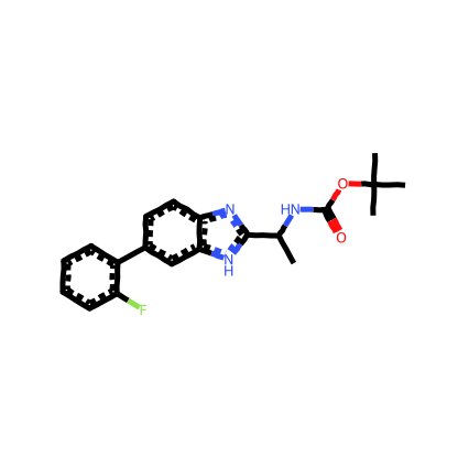 CC(NC(=O)OC(C)(C)C)c1nc2ccc(-c3ccccc3F)cc2[nH]1